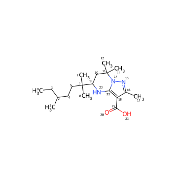 CCC(C)CCC(C)(C)C1CC(C)(C)n2nc(C)c(C(=O)O)c2N1